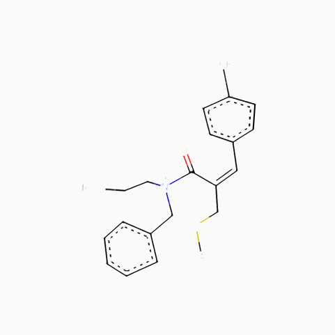 CC(=O)SCC(=Cc1ccc(C(F)(F)F)cc1)C(=O)N(CCC(=O)O)Cc1ccccc1